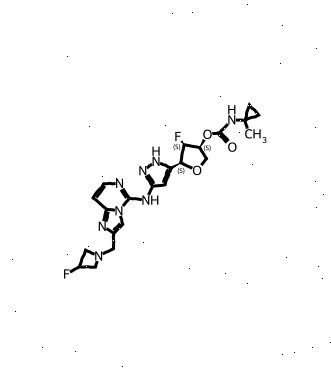 CC1(NC(=O)O[C@H]2CO[C@@H](c3cc(Nc4nccc5nc(CN6CC(F)C6)cn45)n[nH]3)[C@@H]2F)CC1